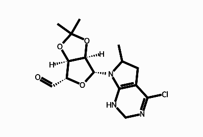 CC1CC2=C(NCN=C2Cl)N1[C@@H]1O[C@H](C=O)[C@H]2OC(C)(C)O[C@H]21